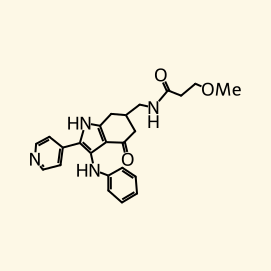 COCCC(=O)NCC1CC(=O)c2c([nH]c(-c3ccncc3)c2Nc2ccccc2)C1